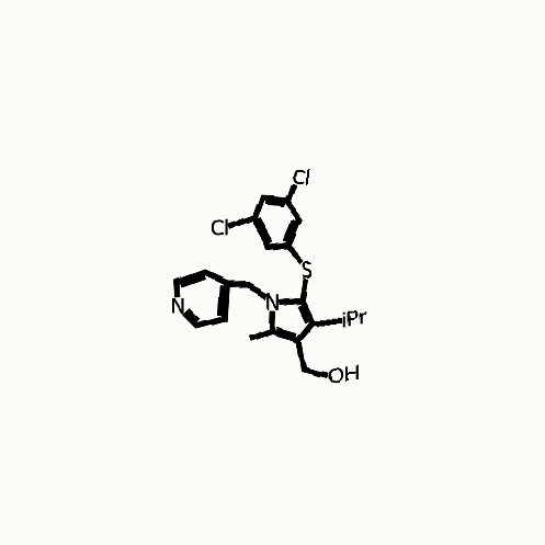 Cc1c(CO)c(C(C)C)c(Sc2cc(Cl)cc(Cl)c2)n1Cc1ccncc1